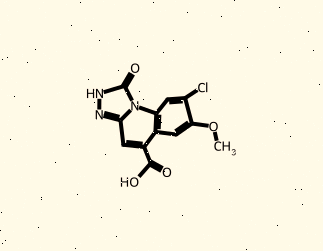 COc1cc2c(C(=O)O)cc3n[nH]c(=O)n3c2cc1Cl